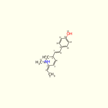 C/C=C(\C=C/C(C)/C=C/c1ccc(O)cc1)NC